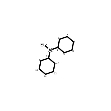 C[CH2][Al]([CH]1CCCCC1)[CH]1CCCCC1